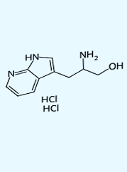 Cl.Cl.NC(CO)Cc1c[nH]c2ncccc12